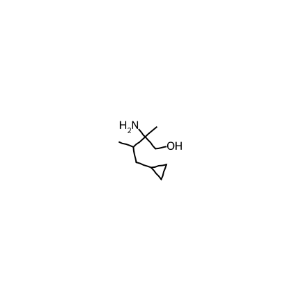 CC(CC1CC1)C(C)(N)CO